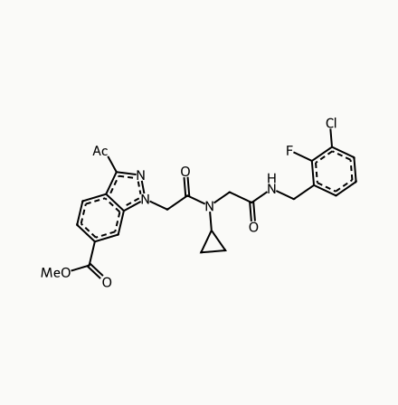 COC(=O)c1ccc2c(C(C)=O)nn(CC(=O)N(CC(=O)NCc3cccc(Cl)c3F)C3CC3)c2c1